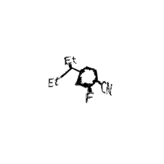 CCC(CC)c1ccc(C#N)c(F)c1